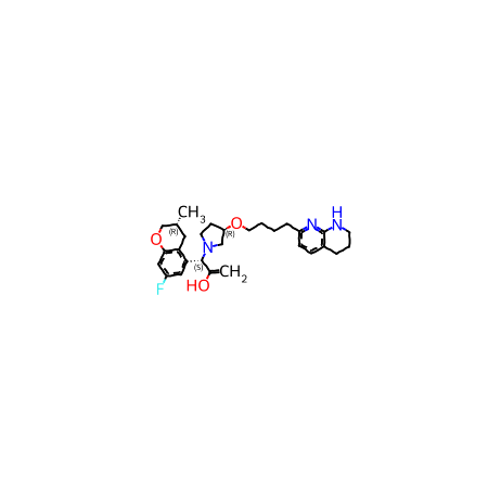 C=C(O)[C@H](c1cc(F)cc2c1C[C@@H](C)CO2)N1CC[C@@H](OCCCCc2ccc3c(n2)NCCC3)C1